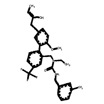 C/C=C(\O)Cc1ccc(OC)c(-c2ccc(C(F)(F)F)cc2CN(CC)C(=O)NCc2cccc(C)c2)c1